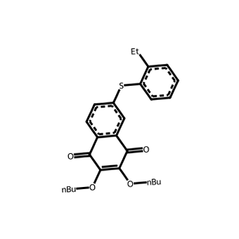 CCCCOC1=C(OCCCC)C(=O)c2cc(Sc3ccccc3CC)ccc2C1=O